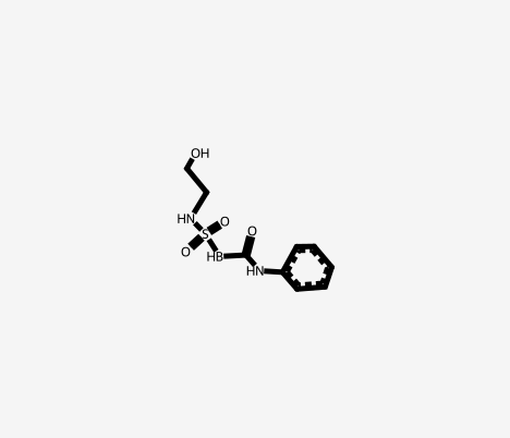 O=C(BS(=O)(=O)NCCO)Nc1ccccc1